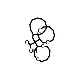 O=C(O)C(CC1CCCCCCCCC1)(C1CCCCCCCCC1)C1CCCCCCCCC1